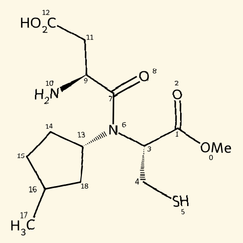 COC(=O)[C@H](CS)N(C(=O)[C@@H](N)CC(=O)O)[C@H]1CCC(C)C1